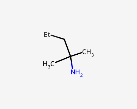 [CH2]CCC(C)(C)N